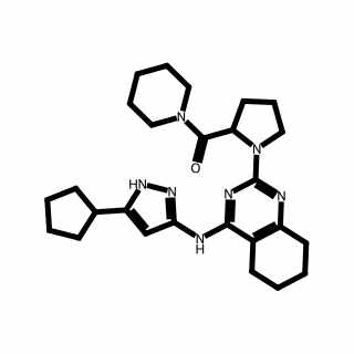 O=C(C1CCCN1c1nc2c(c(Nc3cc(C4CCCC4)[nH]n3)n1)CCCC2)N1CCCCC1